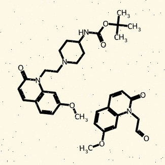 COc1ccc2ccc(=O)n(CC=O)c2c1.COc1ccc2ccc(=O)n(CCN3CCC(NC(=O)OC(C)(C)C)CC3)c2c1